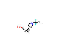 CC(F)(F)CN1CCC([C@H]2C[C@H]2CCO)CC1